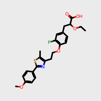 CCOC(Cc1ccc(OCCc2nc(-c3ccc(OC)cc3)sc2C)c(F)c1)C(=O)O